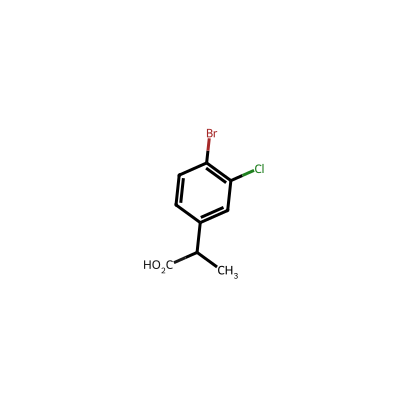 CC(C(=O)O)c1ccc(Br)c(Cl)c1